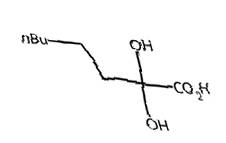 CCCCCCC(O)(O)C(=O)O